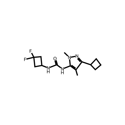 Cc1c(C2CCC2)nn(C)c1NC(=O)NC1CC(F)(F)C1